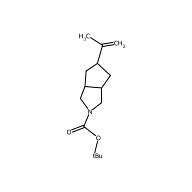 C=C(C)C1CC2CN(C(=O)OC(C)(C)C)CC2C1